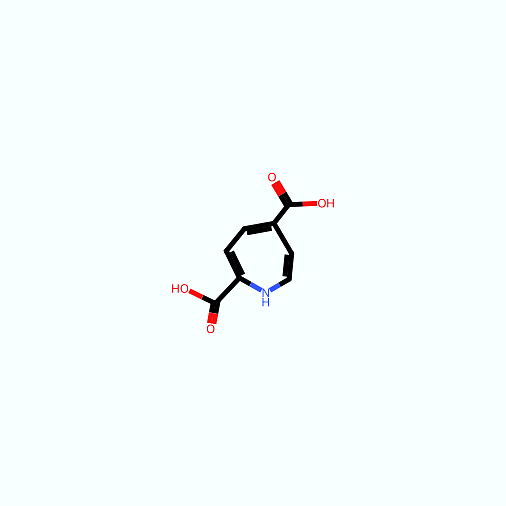 O=C(O)C1=CC=C(C(=O)O)NC=C1